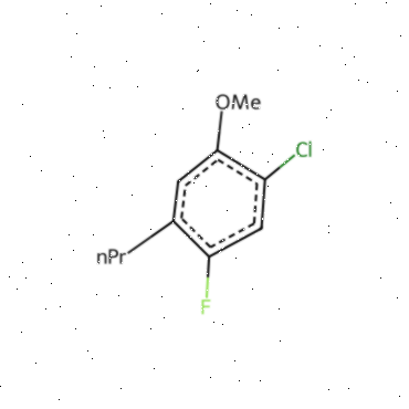 CCCc1cc(OC)c(Cl)cc1F